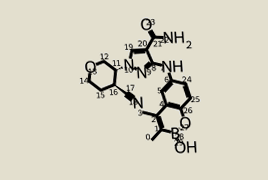 CC1=C(C)c2cc(Nc3nn([C@H]4COCC[C@@H]4C#N)cc3C(N)=O)ccc2OB1O